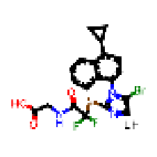 O=C(O)CNC(=O)C(F)(F)Sc1ncc(Br)n1-c1ccc(C2CC2)c2ccccc12.[LiH]